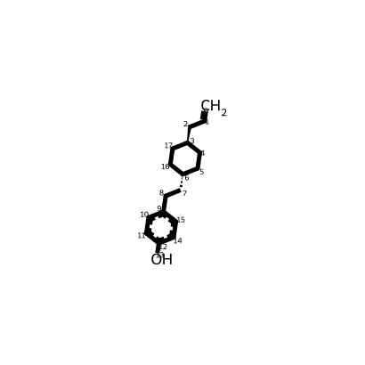 C=CC[C@H]1CC[C@H](CCc2ccc(O)cc2)CC1